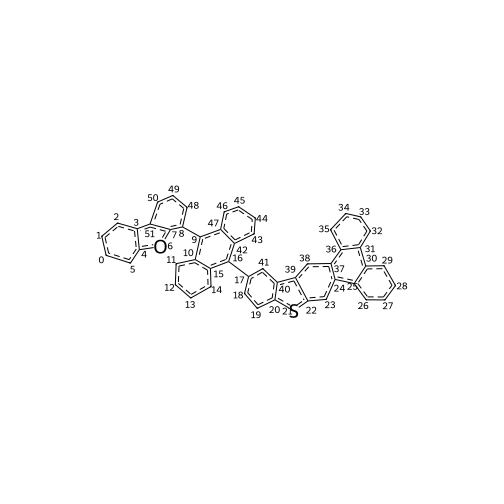 c1ccc2c(c1)oc1c(-c3c4ccccc4c(-c4ccc5sc6cc7c8ccccc8c8ccccc8c7cc6c5c4)c4ccccc34)cccc12